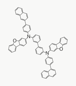 c1cc(-c2cccc(N(c3ccc(-c4cccc5ccccc45)cc3)c3ccc4c(c3)oc3ccccc34)c2)cc(N(c2ccc(-c3ccc4ccccc4c3)cc2)c2ccc3c(c2)oc2ccccc23)c1